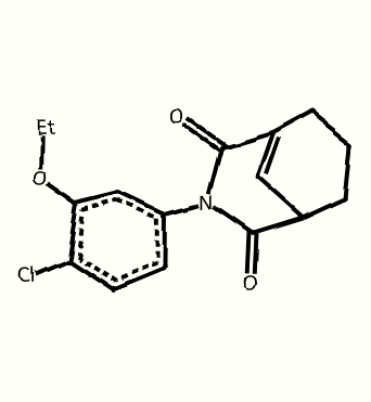 CCOc1cc(N2C(=O)C3=CC(CCC3)C2=O)ccc1Cl